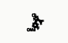 COc1ccc(-c2nc(Cl)sc2C2CC2)cc1F